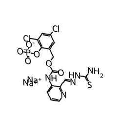 NC(=S)NN=Cc1ncccc1NC(=O)OCc1cc(Cl)cc(Cl)c1OP(=O)([O-])[O-].[Na+].[Na+]